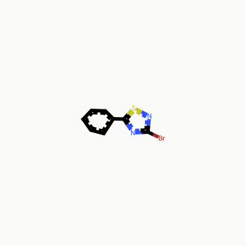 Brc1nsc(-c2cc[c]cc2)n1